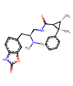 C[C@H]1C(C(=O)NC[C@H](Cc2ccc3[nH]c(=O)oc3c2)N(C)C)[C@]1(C)c1ccccc1